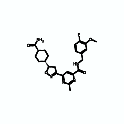 COc1cc(CNC(=O)c2cc(C3=NOC([C@H]4CC[C@H](C(N)=O)CC4)C3)nc(C)n2)ccc1F